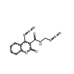 [N-]=[N+]=NCNC(=O)c1c(N=[N+]=[N-])c2ccccc2oc1=O